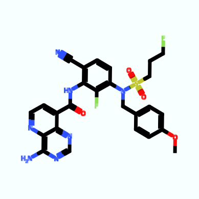 COc1ccc(CN(c2ccc(C#N)c(NC(=O)c3ccnc4c(N)ncnc34)c2F)S(=O)(=O)CCCF)cc1